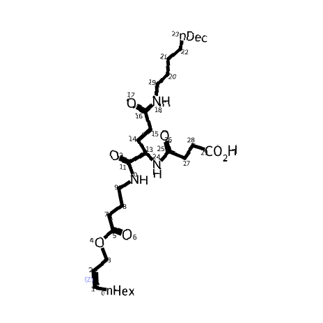 CCCCCC/C=C\COC(=O)CCCNC(=O)C(CCC(=O)NCCCCCCCCCCCCCC)NC(=O)CCC(=O)O